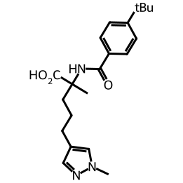 Cn1cc(CCCC(C)(NC(=O)c2ccc(C(C)(C)C)cc2)C(=O)O)cn1